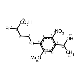 CCC(CCOc1cc([N+](=O)[O-])c(C(C)O)cc1OC)C(=O)O